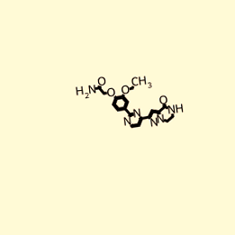 CCOc1cc(-c2nccc(-c3cc4n(n3)CCNC4=O)n2)ccc1OCC(N)=O